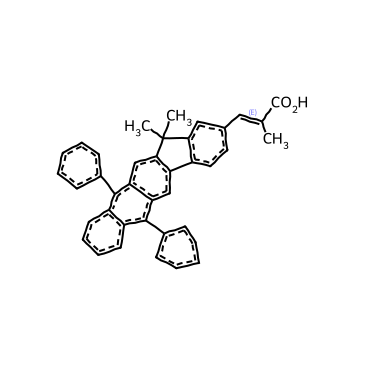 C/C(=C\c1ccc2c(c1)C(C)(C)c1cc3c(-c4ccccc4)c4ccccc4c(-c4ccccc4)c3cc1-2)C(=O)O